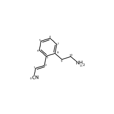 N#CC=Cc1ccccc1CCN